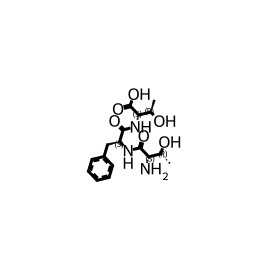 C[C@@H](O)[C@H](N)C(=O)N[C@@H](Cc1ccccc1)C(=O)N[C@H](C(=O)O)[C@@H](C)O